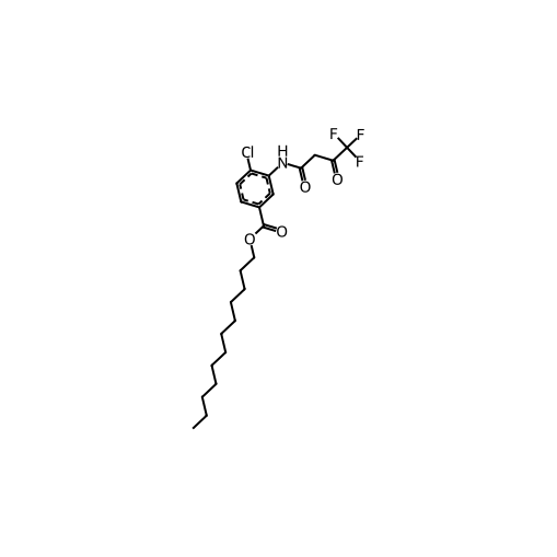 CCCCCCCCCCCCOC(=O)c1ccc(Cl)c(NC(=O)CC(=O)C(F)(F)F)c1